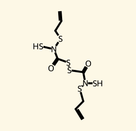 C=CCSN(S)C(=O)SSC(=O)N(S)SCC=C